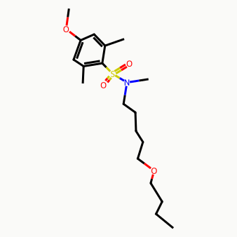 CCCCOCCCCCN(C)S(=O)(=O)c1c(C)cc(OC)cc1C